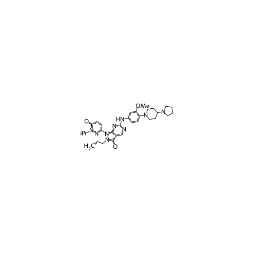 C=CCn1c(=O)c2cnc(Nc3ccc(N4CCC(N5CCCC5)CC4)c(OC)c3)nc2n1-c1ccc(=O)n(C(C)C)n1